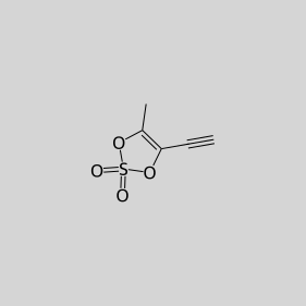 C#CC1=C(C)OS(=O)(=O)O1